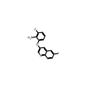 Nc1c(F)cccc1Oc1cnc2ccc(F)cc2c1